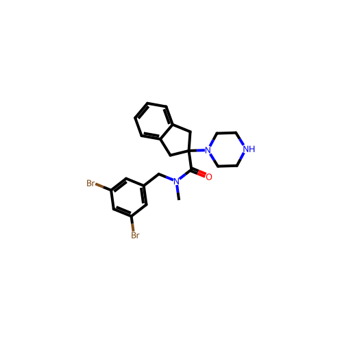 CN(Cc1cc(Br)cc(Br)c1)C(=O)C1(N2CCNCC2)Cc2ccccc2C1